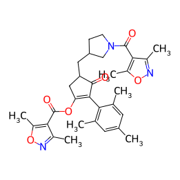 Cc1cc(C)c(C2=C(OC(=O)c3c(C)noc3C)CC(CC3CCN(C(=O)c4c(C)noc4C)C3)C2=O)c(C)c1